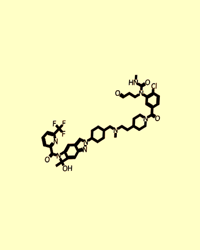 CNC(=O)N(CCC=O)c1cc(C(=O)N2CCC(CCN(C)CC3CCC(n4cc5cc6c(cc5n4)C(C)(O)N6C(=O)c4cccc(C(F)(F)F)n4)CC3)CC2)ccc1Cl